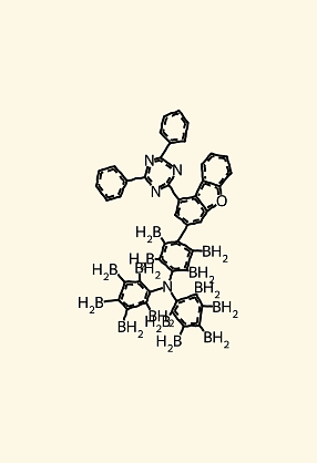 Bc1c(B)c(B)c(N(c2c(B)c(B)c(B)c(B)c2B)c2c(B)c(B)c(-c3cc(-c4nc(-c5ccccc5)nc(-c5ccccc5)n4)c4c(c3)oc3ccccc34)c(B)c2B)c(B)c1B